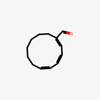 O=CC1=CC=CC=CCCCCCC1